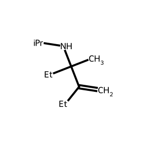 C=C(CC)C(C)(CC)NC(C)C